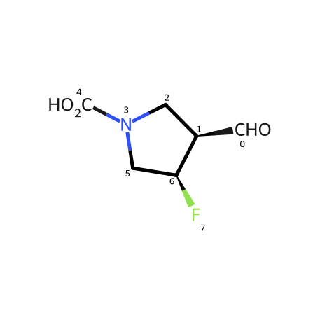 O=C[C@@H]1CN(C(=O)O)C[C@@H]1F